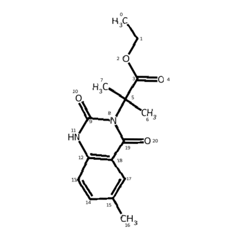 CCOC(=O)C(C)(C)n1c(=O)[nH]c2ccc(C)cc2c1=O